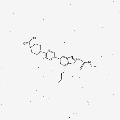 CCCCc1cc(-c2cnc(N3CCC(C)(C(=O)O)CC3)nc2)cc2nc(NC(=O)NCC)sc12